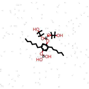 CCCCCCc1cc(OB(OC(C)(C)C(C)(C)O)OC(C)(C)C(C)(C)O)c(CCCCCC)cc1OB(O)O